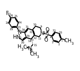 Cc1ccc(S(=O)(=O)N2CCC3=C(C2)[C@H](CN(C)C)C2=CNN(c4ccc(F)cc4)C2=C3)cc1